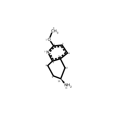 COc1ccc2c(n1)CC[C@H](N)C2